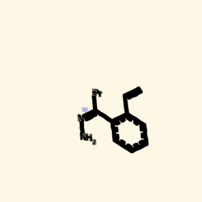 C=Cc1ccccc1/C(=N\N)C(C)C